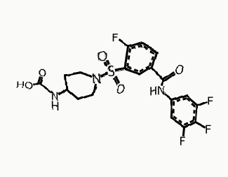 O=C(O)NC1CCN(S(=O)(=O)c2cc(C(=O)Nc3cc(F)c(F)c(F)c3)ccc2F)CC1